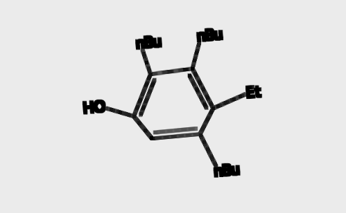 CCCCc1cc(O)c(CCCC)c(CCCC)c1CC